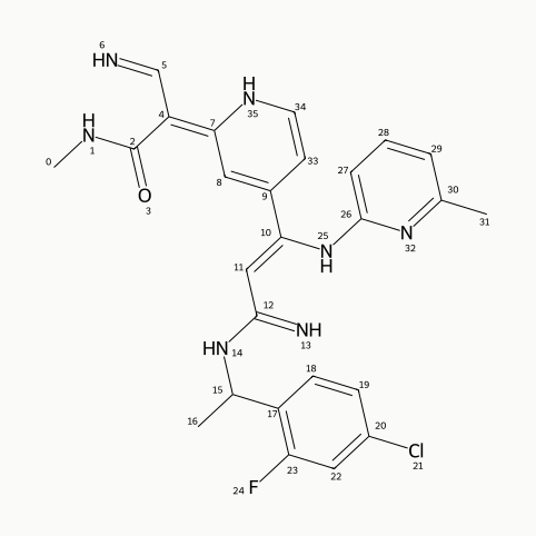 CNC(=O)/C(C=N)=C1C=C(/C(=C/C(=N)NC(C)c2ccc(Cl)cc2F)Nc2cccc(C)n2)C=CN\1